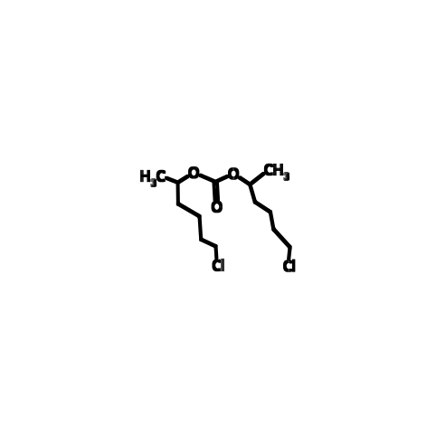 CC(CCCCCl)OC(=O)OC(C)CCCCCl